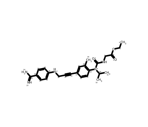 CCOC(=O)CNC(=O)N(c1ccc(C#CCNc2ccc(C(=N)N)cc2)cc1C)C(C)C